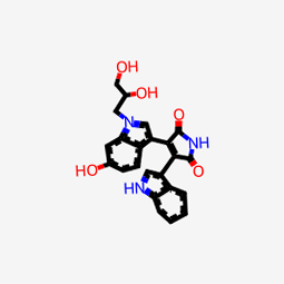 O=C1NC(=O)C(c2cn(CC(O)CO)c3cc(O)ccc23)=C1c1c[nH]c2ccccc12